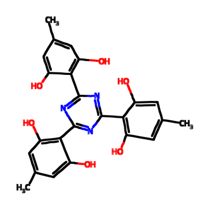 Cc1cc(O)c(-c2nc(-c3c(O)cc(C)cc3O)nc(-c3c(O)cc(C)cc3O)n2)c(O)c1